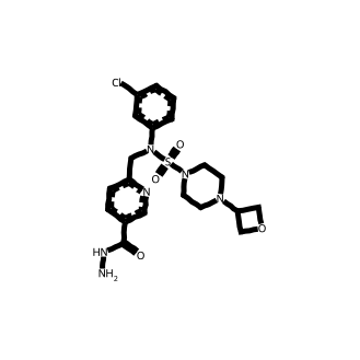 NNC(=O)c1ccc(CN(c2cccc(Cl)c2)S(=O)(=O)N2CCN(C3COC3)CC2)nc1